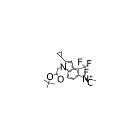 [C-]#[N+]c1ccc2c(cc(C3CC3)n2CC(=O)OC(C)(C)C)c1C(F)(F)F